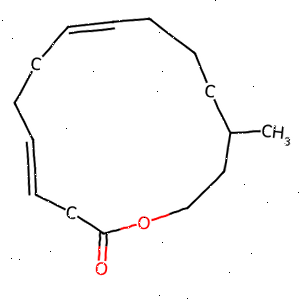 CC1CCCC=CCC/C=C/CC(=O)OCC1